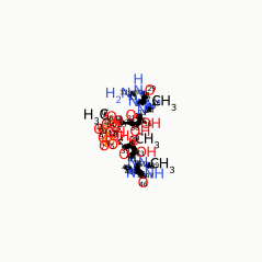 COC1[C@@H](COP(=O)(O)OP(=O)(O)OP(=O)(OC)OC[C@H]2O[C@@H](n3c[n+](C)c4c(=O)[nH]c(N)nc43)[C@@H](O)C2O)O[C@@H](n2cnc3c(=O)[nH]c(C)nc32)[C@H]1O